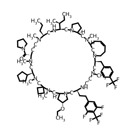 CCC[C@H]1CN[C@@H]([C@@H](C)CC)CN2CCC[C@H]2CN(C)[C@H]2C/C=C\CCN(C2)[C@@H](Cc2ccc(C(F)(F)F)cc2)CN(C)CCN[C@@H](CCc2cc(F)c(C(F)(F)F)c(F)c2)CN2C[C@H](OCC)C[C@H]2CN(C)C2(CCC2)CN(C)[C@@H](C2CCCC2)CN(C)[C@H](C(=O)N2CCCC2)CCN1C